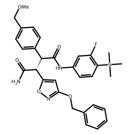 COCc1ccc(C(C(=O)Nc2ccc([Si](C)(C)C)c(F)c2)[C@@H](C(N)=O)c2cc(OCc3ccccc3)no2)cc1